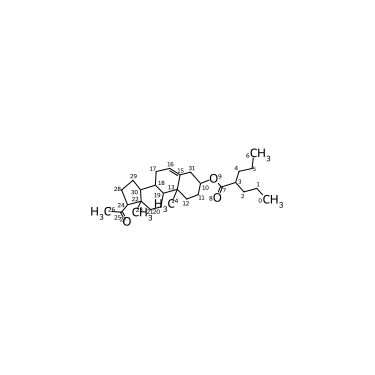 CCCC(CCC)C(=O)OC1CCC2(C)C(=CCC3C2CCC2(C)C(C(C)=O)CCC32)C1